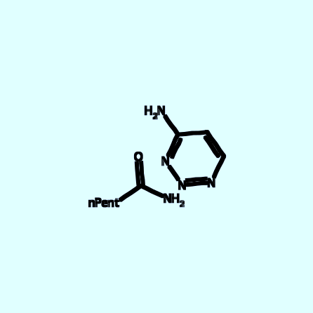 CCCCCC(N)=O.Nc1ccnnn1